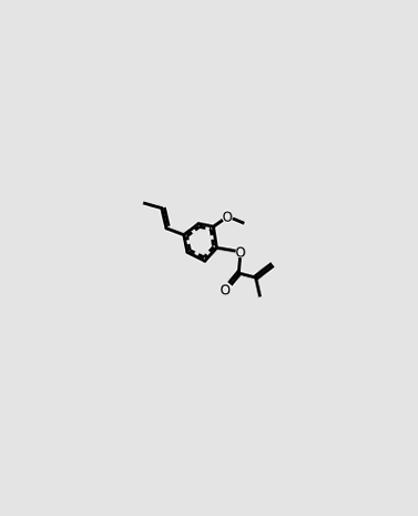 C=C(C)C(=O)Oc1ccc(/C=C/C)cc1OC